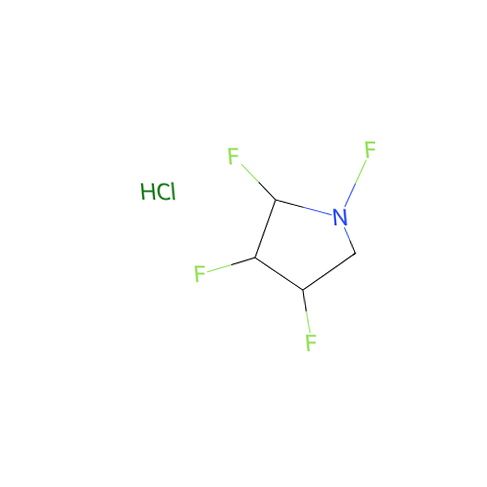 Cl.FC1CN(F)C(F)C1F